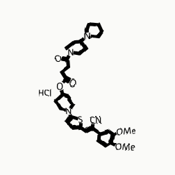 COc1ccc(C(C#N)=Cc2ccc(N3CCC(OC(=O)CCC(=O)N4CCC(N5CCCCC5)CC4)CC3)s2)cc1OC.Cl